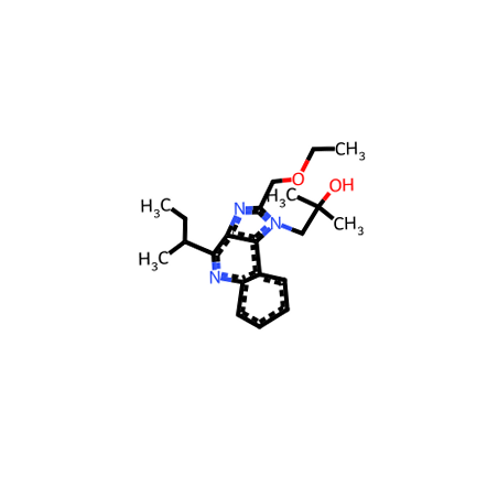 CCOCc1nc2c(C(C)CC)nc3ccccc3c2n1CC(C)(C)O